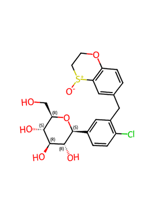 [O-][S+]1CCOc2ccc(Cc3cc([C@@H]4O[C@H](CO)[C@@H](O)[C@H](O)[C@H]4O)ccc3Cl)cc21